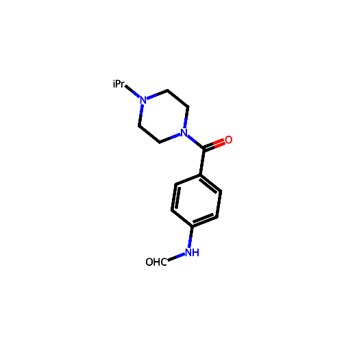 CC(C)N1CCN(C(=O)c2ccc(NC=O)cc2)CC1